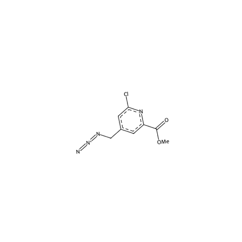 COC(=O)c1cc(CN=[N+]=[N-])cc(Cl)n1